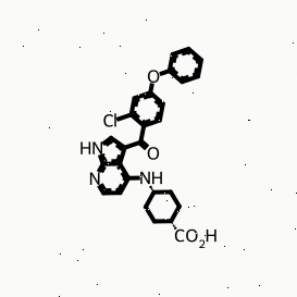 O=C(c1ccc(Oc2ccccc2)cc1Cl)c1c[nH]c2nccc(N[C@H]3CC[C@@H](C(=O)O)CC3)c12